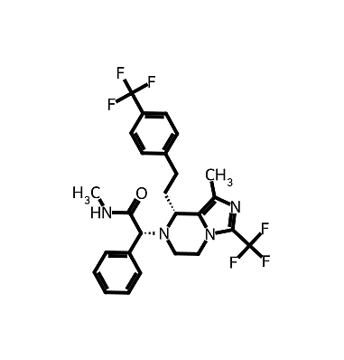 CNC(=O)[C@@H](c1ccccc1)N1CCn2c(C(F)(F)F)nc(C)c2[C@H]1CCc1ccc(C(F)(F)F)cc1